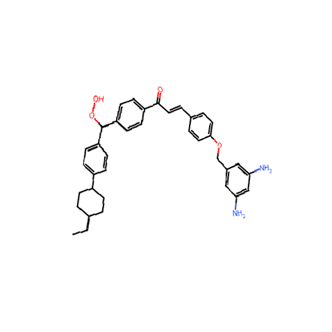 CCC1CCC(c2ccc(C(OO)c3ccc(C(=O)/C=C/c4ccc(OCc5cc(N)cc(N)c5)cc4)cc3)cc2)CC1